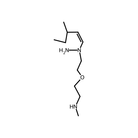 CCC(C)/C=C\N(N)CCOCCNC